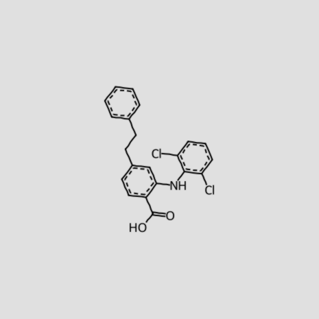 O=C(O)c1ccc(CCc2ccccc2)cc1Nc1c(Cl)cccc1Cl